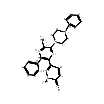 CC(C)n1nc(-c2nc(N3CCN(c4ccccc4)CC3)c(N)nc2-c2ccccc2)ccc1=O